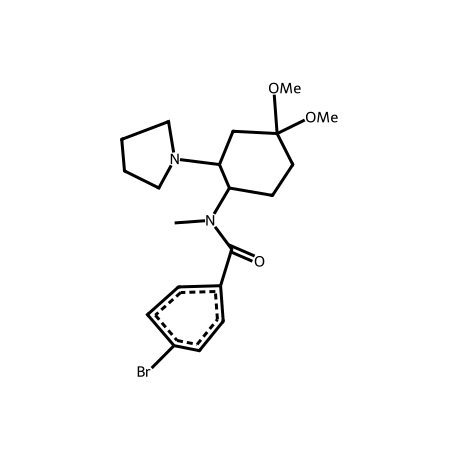 COC1(OC)CCC(N(C)C(=O)c2ccc(Br)cc2)C(N2CCCC2)C1